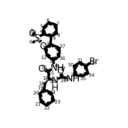 CS(=O)(=O)c1ccccc1-c1ccc(NC(=O)[C@H](Cc2ccccc2)NC(=O)Nc2ccc(Br)cc2)cc1